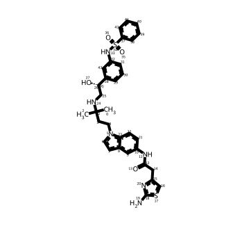 CC(C)(CCn1ccc2cc(NC(=O)Cc3csc(N)n3)ccc21)NC[C@H](O)c1cccc(NS(=O)(=O)c2ccccc2)c1